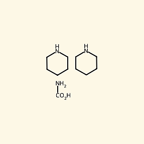 C1CCNCC1.C1CCNCC1.NC(=O)O